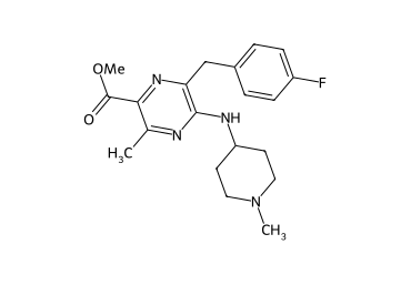 COC(=O)c1nc(Cc2ccc(F)cc2)c(NC2CCN(C)CC2)nc1C